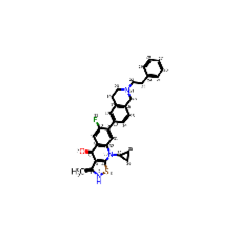 C=C1NSc2c1c(=O)c1cc(F)c(-c3ccc4c(c3)CCN(CCc3ccccc3)C4)cc1n2C1CC1